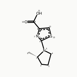 C[C@H]1CCCN1c1nc(C(=O)O)cs1